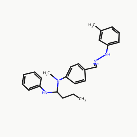 CCCC(Nc1ccccc1)N(C)c1ccc(/C=N/Nc2cccc(C)c2)cc1